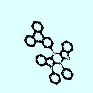 c1ccc(B2c3oc4ccccc4c3N(c3ccc4c5ccccc5c5ccccc5c4c3)c3c2n(-c2ccccc2)c2ccccc32)cc1